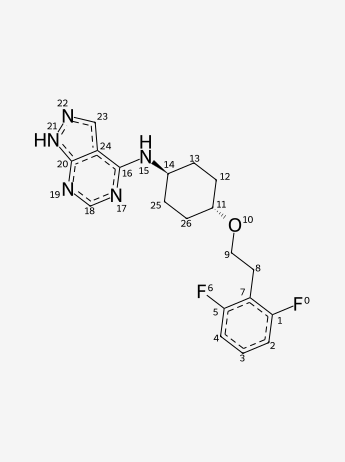 Fc1cccc(F)c1CCO[C@H]1CC[C@H](Nc2ncnc3[nH]ncc23)CC1